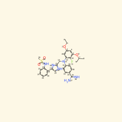 CCOc1cc(OC(C)C)c(F)c(N(Cc2nc(-c3ccccc3NS(C)(=O)=O)c[nH]2)c2ccc(C(=N)N)cc2)c1